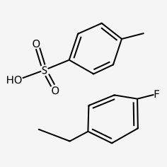 CCc1ccc(F)cc1.Cc1ccc(S(=O)(=O)O)cc1